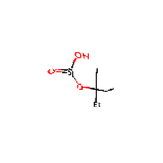 CCC(C)(C)O[Si](=O)O